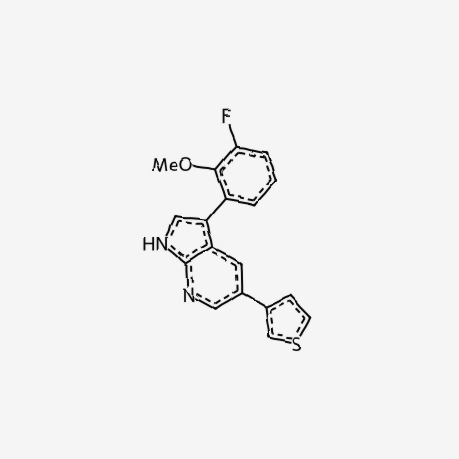 COc1c(F)cccc1-c1c[nH]c2ncc(-c3ccsc3)cc12